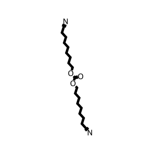 N#CCCCCCCCCOC(=O)OCCCCCCCCC#N